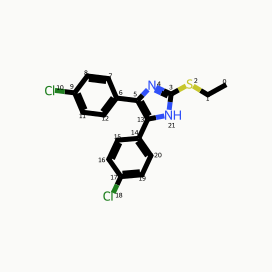 CCSc1nc(-c2ccc(Cl)cc2)c(-c2ccc(Cl)cc2)[nH]1